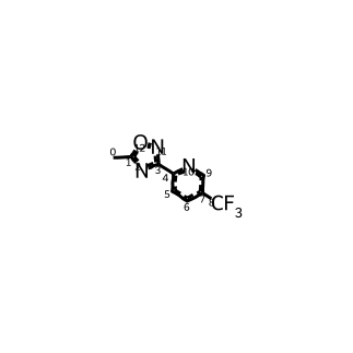 Cc1nc(-c2ccc(C(F)(F)F)cn2)no1